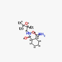 CCC1(CC)OC1(CC)CNC(=O)C1CCCCC1C(N)=O